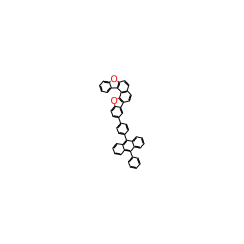 c1ccc(-c2c3ccccc3c(-c3ccc(-c4ccc5oc6c(ccc7ccc8oc9ccccc9c8c76)c5c4)cc3)c3ccccc23)cc1